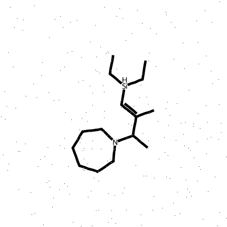 CC[SiH](C=C(C)C(C)N1CCCCCC1)CC